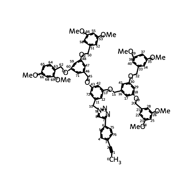 CC#Cc1ccc(-c2cn(Cc3cc(OCc4cc(OCc5cc(OC)cc(OC)c5)cc(OCc5cc(OC)cc(OC)c5)c4)cc(OCc4cc(OCc5cc(OC)cc(OC)c5)cc(OCc5ccc(OC)cc5OC)c4)c3)nn2)cc1